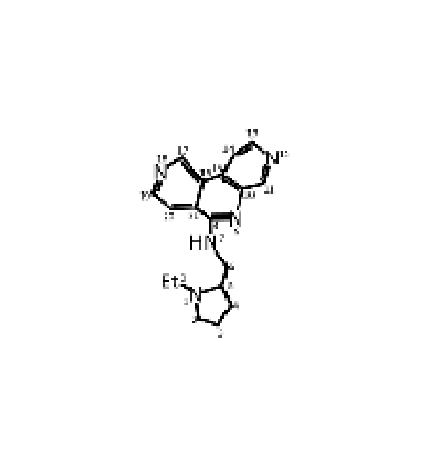 CCN1CCCC1CNc1nc2cnccc2c2cnccc12